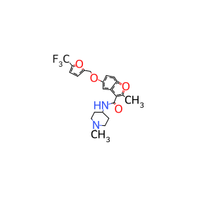 Cc1oc2ccc(OCc3ccc(C(F)(F)F)o3)cc2c1C(=O)NC1CCN(C)CC1